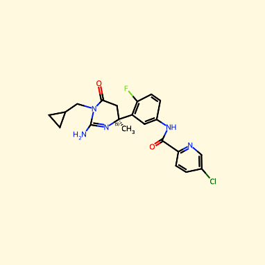 C[C@@]1(c2cc(NC(=O)c3ccc(Cl)cn3)ccc2F)CC(=O)N(CC2CC2)C(N)=N1